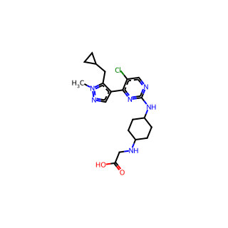 Cn1ncc(-c2nc(NC3CCC(NCC(=O)O)CC3)ncc2Cl)c1CC1CC1